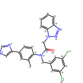 Cc1cc(-c2c[nH]cn2)ccc1N(Cc1cc(F)cc(Cl)c1)C(=O)Cn1nnc2ccccc21